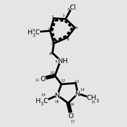 Cc1cc(Cl)ccc1CNC(=O)C1CN(C)C(=O)N1C